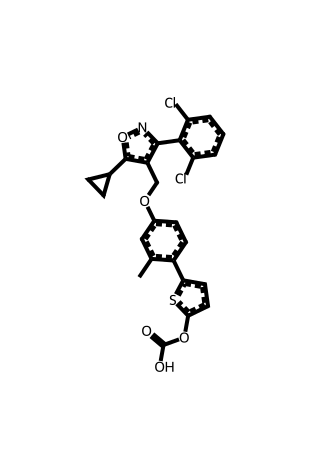 Cc1cc(OCc2c(-c3c(Cl)cccc3Cl)noc2C2CC2)ccc1-c1ccc(OC(=O)O)s1